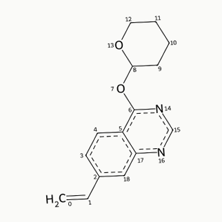 C=Cc1ccc2c(OC3CCCCO3)ncnc2c1